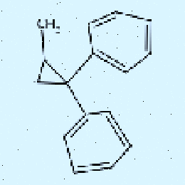 CC1[CH]C1(c1ccccc1)c1ccccc1